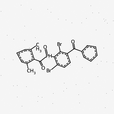 Cc1cccc(C)c1C(=O)[PH](=O)c1c(Br)ccc(C(=O)c2ccccc2)c1Br